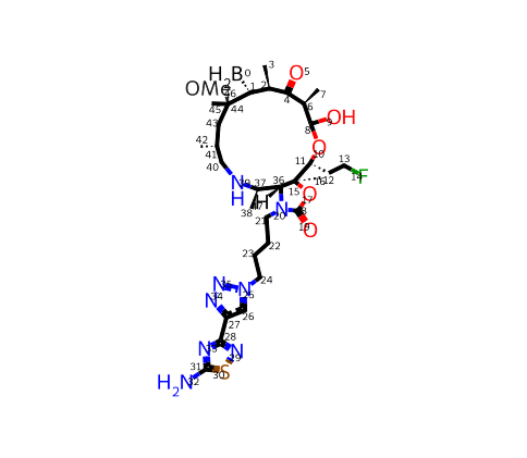 B[C@@H]1[C@@H](C)C(=O)[C@@H](C)C(O)O[C@H](CCF)[C@@]2(C)OC(=O)N(CCCCn3cc(-c4nsc(N)n4)nn3)[C@@H]2[C@@H](C)NC[C@H](C)C[C@@]1(C)OC